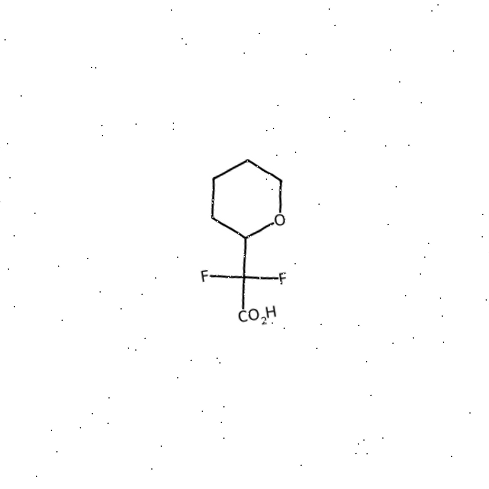 O=C(O)C(F)(F)C1CCCCO1